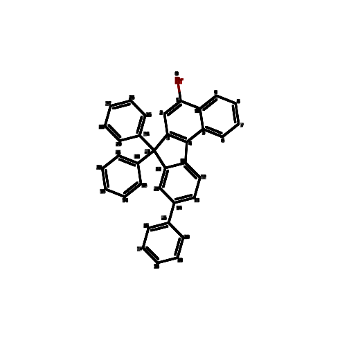 Brc1cc2c(c3ccccc13)-c1ccc(-c3ccccc3)cc1C2(c1ccccc1)c1ccccc1